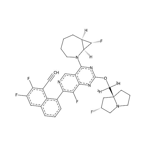 [2H]C([2H])(Oc1nc(N2CCCC[C@H]3[C@H](F)[C@H]32)c2cnc(-c3cccc4cc(F)c(F)c(C#C)c34)c(F)c2n1)[C@@]12CCCN1C[C@H](F)C2